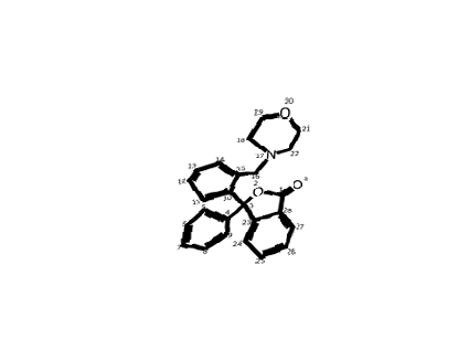 O=C1OC(c2ccccc2)(c2ccccc2CN2CCOCC2)c2ccccc21